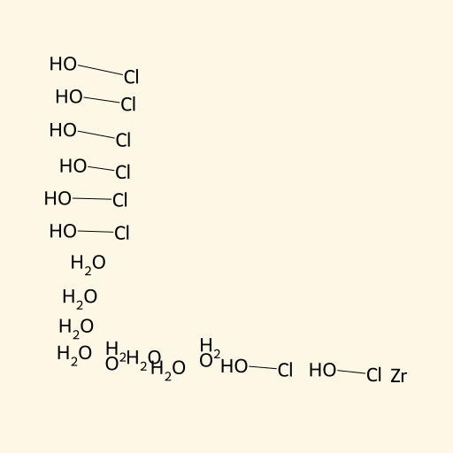 O.O.O.O.O.O.O.O.OCl.OCl.OCl.OCl.OCl.OCl.OCl.OCl.[Zr]